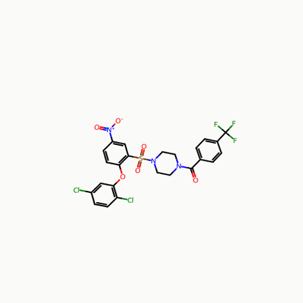 O=C(c1ccc(C(F)(F)F)cc1)N1CCN(S(=O)(=O)c2cc([N+](=O)[O-])ccc2Oc2cc(Cl)ccc2Cl)CC1